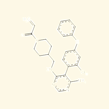 C=CC(=O)N1CCC(CNc2ncnc(N)c2-c2ccc(Oc3ccccc3)cc2C(F)(F)F)CC1